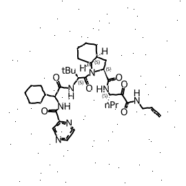 C=CCNC(=O)C(=O)[C@H](CCC)NC(=O)[C@@H]1C[C@@H]2CCCC[C@@H]2N1C(=O)[C@@H](NC(=O)C(NC(=O)c1cnccn1)C1CCCCC1)C(C)(C)C